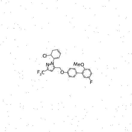 COc1ccc(F)cc1-c1ccc(OCc2cc(C(F)(F)F)nn2C2=CC=CCC2Cl)cc1